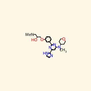 CNCC(O)COc1cccc(-c2nc(-c3ncc[nH]3)cc(N(C)C3CCOCC3)n2)c1